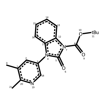 Cc1cc(-n2c(=O)n(C(=O)OC(C)(C)C)c3ccccc32)cnc1C